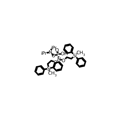 CC(C)N(OP(=O)(O)N(OCC[Si](C)(c1ccccc1)c1ccccc1)OCC[Si](C)(c1ccccc1)c1ccccc1)C(C)C